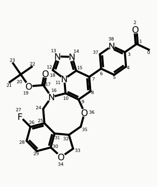 CC(=O)c1ccc(-c2cc3c(n4cnnc24)N(C(=O)OC(C)(C)C)Cc2c(F)ccc4c2C(CO4)CO3)cn1